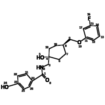 O=C(NC[C@]1(O)CC[C@H](COc2cccc(F)c2)CC1)c1ccc(O)cc1